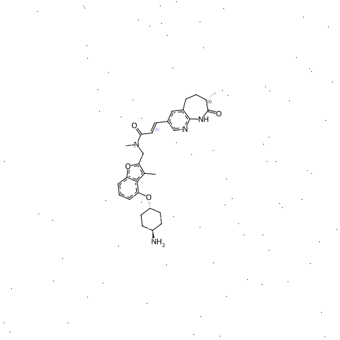 Cc1c(CN(C)C(=O)/C=C/c2cnc3c(c2)CC[C@H](C)C(=O)N3)oc2cccc(O[C@H]3CC[C@H](N)CC3)c12